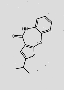 CC(C)c1cc2c(s1)Sc1ccccc1NC2=O